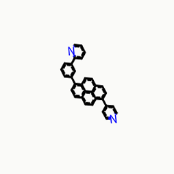 c1ccc(-c2cccc(-c3ccc4ccc5c(-c6ccncc6)ccc6ccc3c4c65)c2)nc1